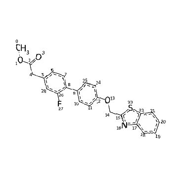 COC(=O)Cc1ccc(-c2ccc(OCc3nc4ccccc4s3)cc2)c(F)c1